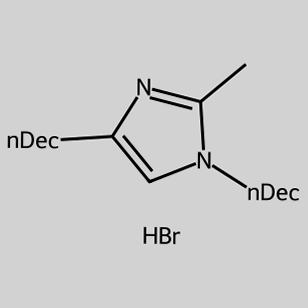 Br.CCCCCCCCCCc1cn(CCCCCCCCCC)c(C)n1